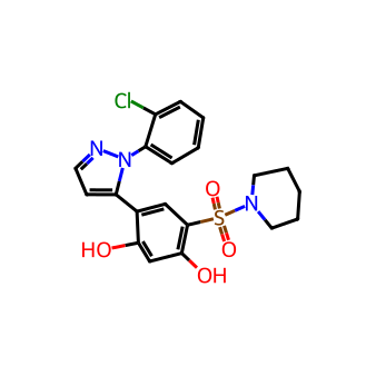 O=S(=O)(c1cc(-c2ccnn2-c2ccccc2Cl)c(O)cc1O)N1CCCCC1